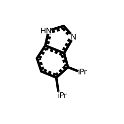 CC(C)c1ccc2[nH]cnc2c1C(C)C